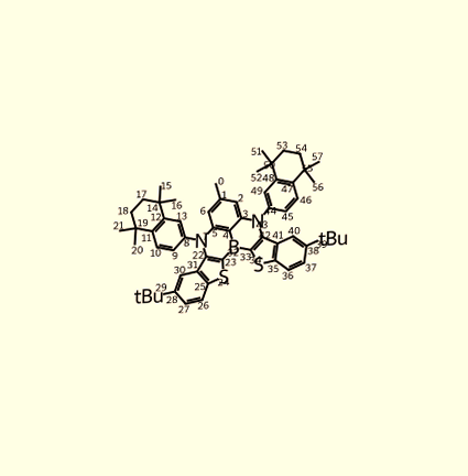 Cc1cc2c3c(c1)N(c1ccc4c(c1)C(C)(C)CCC4(C)C)c1c(sc4ccc(C(C)(C)C)cc14)B3c1sc3ccc(C(C)(C)C)cc3c1N2c1ccc2c(c1)C(C)(C)CCC2(C)C